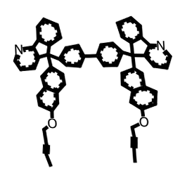 CC#CCOc1ccc2cc(C3(c4ccc(-c5ccc(C6(c7ccc8cc(OCC#CC)ccc8c7)c7ccccc7-c7ncccc76)cc5)cc4)c4ccccc4-c4ncccc43)ccc2c1